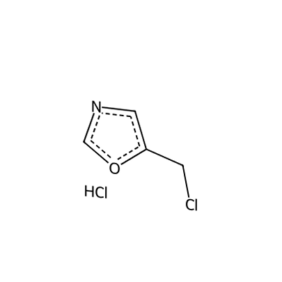 Cl.ClCc1cnco1